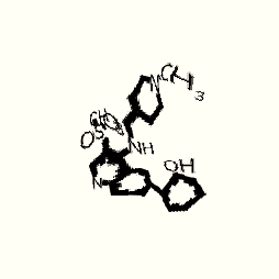 CN1CCC(CNc2c(S(C)(=O)=O)cnc3ccc(-c4ccccc4O)cc23)CC1